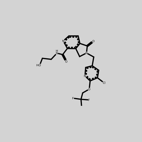 CC(F)(F)COc1ncc(CN2Cc3c(ccnc3C(=O)NCCO)C2=O)cc1Cl